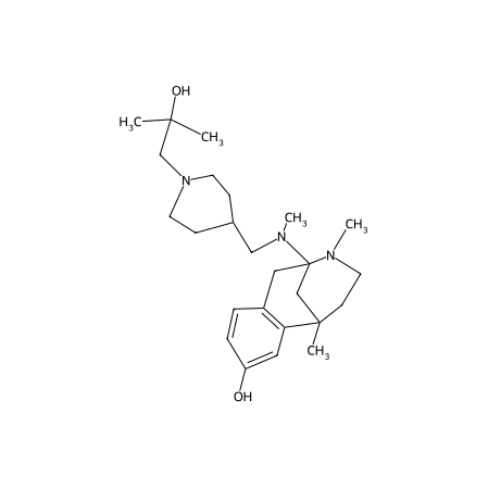 CN1CCC2(C)CC1(N(C)CC1CCN(CC(C)(C)O)CC1)Cc1ccc(O)cc12